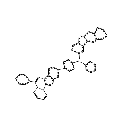 C1=CC2C(c3ccccc3)=Cc3c(oc4cc(-c5ccc(N(c6ccccc6)c6ccc7oc8cc9ccccc9cc8c7c6)cc5)ccc34)C2C=C1